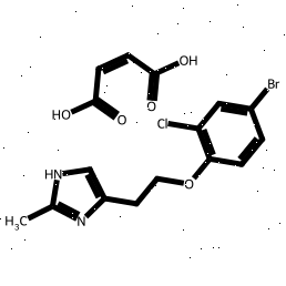 Cc1nc(CCOc2ccc(Br)cc2Cl)c[nH]1.O=C(O)/C=C\C(=O)O